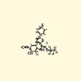 [C-]#[N+]c1ccc(N[C@@H](c2nnc(-c3ccc(F)cc3)s2)[C@H](C)O[Si](C)(C)C(C)(C)C)c(C)c1Cl